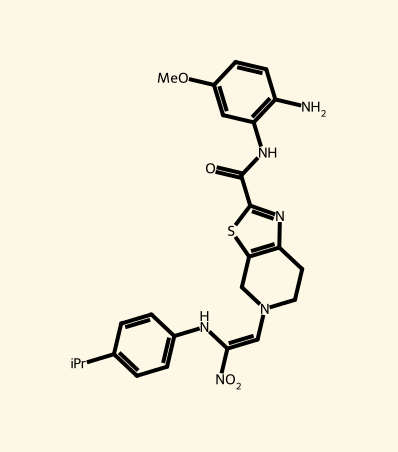 COc1ccc(N)c(NC(=O)c2nc3c(s2)CN(C=C(Nc2ccc(C(C)C)cc2)[N+](=O)[O-])CC3)c1